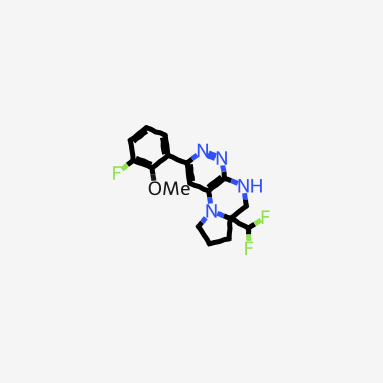 COc1c(F)cccc1-c1cc2c(nn1)NCC1(C(F)F)CCCN21